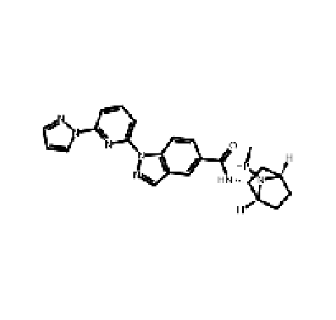 CPN1[C@H]2CC[C@@H]1[C@H](NC(=O)c1ccc3c(cnn3-c3cccc(-n4cccn4)n3)c1)C2